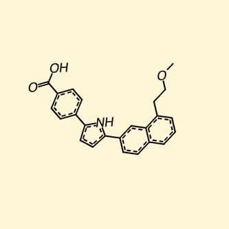 COCCc1cccc2ccc(-c3ccc(-c4ccc(C(=O)O)cc4)[nH]3)cc12